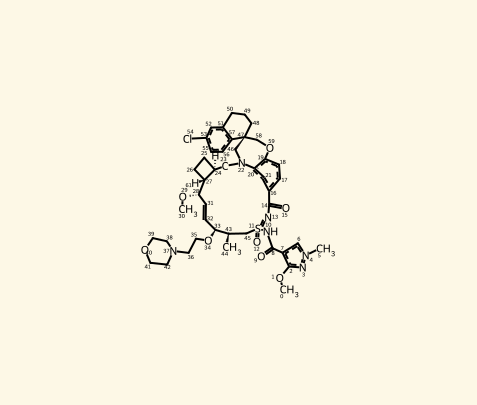 COc1nn(C)cc1C(=O)N[S@@]1(=O)=NC(=O)c2ccc3c(c2)N(C[C@@H]2CC[C@H]2[C@@H](OC)/C=C/[C@H](OCCN2CCOCC2)[C@H](C)C1)C[C@@]1(CCCc2cc(Cl)ccc21)CO3